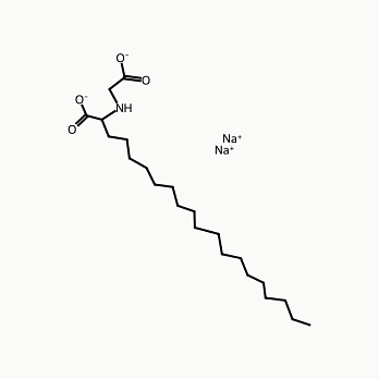 CCCCCCCCCCCCCCCCCCC(NCC(=O)[O-])C(=O)[O-].[Na+].[Na+]